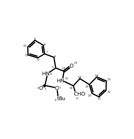 CC(C)(C)OC(=O)NC(Cc1ccccc1)C(=O)NC([C]=O)Cc1ccccc1